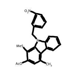 CSc1c(OC(C)=O)cc(C)c2c3ccccc3n(Cc3cccc([N+](=O)[O-])c3)c12